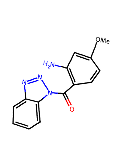 COc1ccc(C(=O)n2nnc3ccccc32)c(N)c1